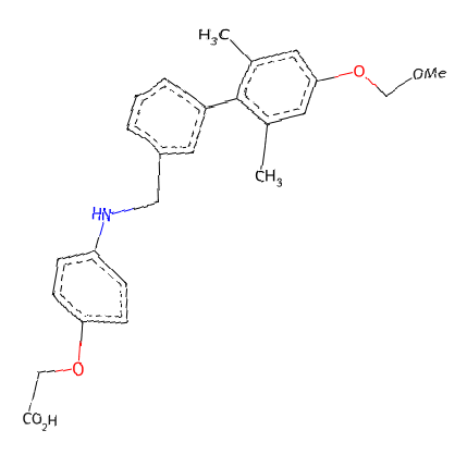 COCOc1cc(C)c(-c2cccc(CNc3ccc(OCC(=O)O)cc3)c2)c(C)c1